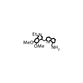 CCc1ncc(Cc2ccc3cccc(CN)c3n2)c2cc(OC)c(OC)cc12